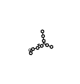 CC1(C)c2cc(-c3ccc4oc5ccccc5c4c3)ccc2-c2ccc(N(c3ccc(-c4ccccc4)cc3)c3ccc(-c4ccc(-c5ccccc5)cc4)cc3)cc21